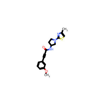 COc1cccc(C#CC(=O)NC2CCN(c3nc(C)cs3)C2)c1